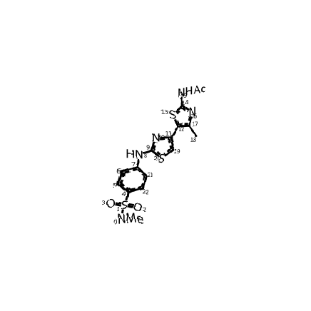 CNS(=O)(=O)c1ccc(Nc2nc(-c3sc(NC(C)=O)nc3C)cs2)cc1